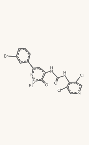 CCn1nc(-c2cccc(Br)c2)cc(NC(=O)Nc2c(Cl)cncc2Cl)c1=O